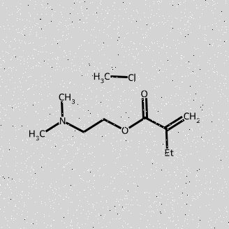 C=C(CC)C(=O)OCCN(C)C.CCl